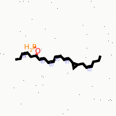 CC/C=C\CC(/C=C/C=C\C=C/C=C/C1CC1C/C=C\CCC)OP